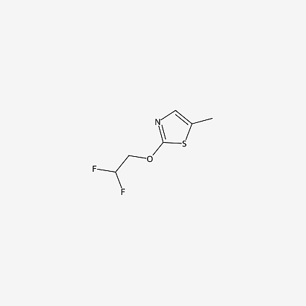 Cc1cnc(OCC(F)F)s1